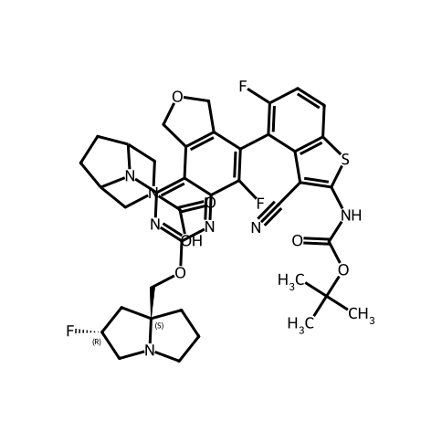 CC(C)(C)OC(=O)Nc1sc2ccc(F)c(-c3c4c(c5c(N6C7CCC6CN(C(=O)O)C7)nc(OC[C@@]67CCCN6C[C@H](F)C7)nc5c3F)COC4)c2c1C#N